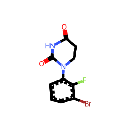 O=C1CCN(c2cccc(Br)c2F)C(=O)N1